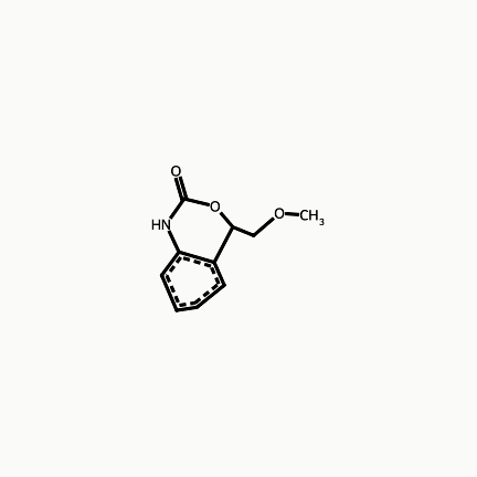 COCC1OC(=O)Nc2ccccc21